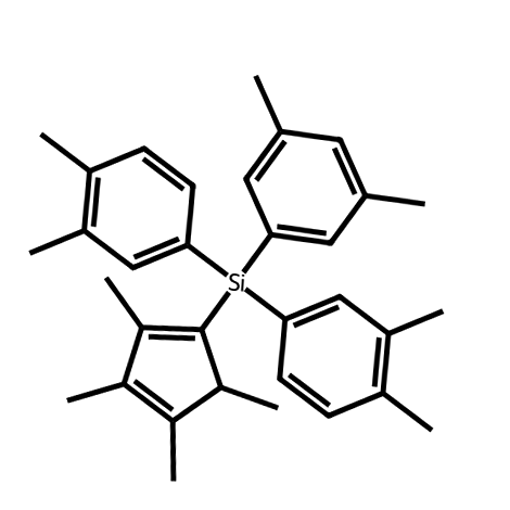 CC1=C(C)C(C)C([Si](c2cc(C)cc(C)c2)(c2ccc(C)c(C)c2)c2ccc(C)c(C)c2)=C1C